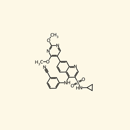 COc1ncc(-c2ccc3c(Nc4cccc(C#N)c4)c(S(=O)(=O)NC4CC4)cnc3c2)c(OC)n1